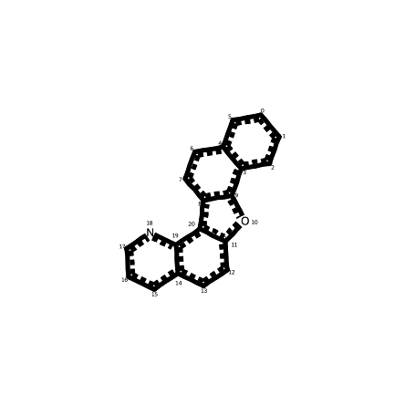 c1ccc2c(c1)ccc1c2oc2ccc3cccnc3c21